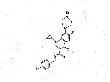 CCN1CCN(c2cc3c(cc2F)c(=O)c(C(=O)C=Cc2ccc(F)cc2)cn3C2CC2)CC1